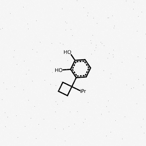 CC(C)C1(c2cccc(O)c2O)CCC1